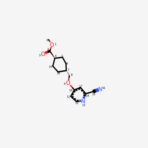 COC(=O)[C@H]1CC[C@H](COc2ccnc(C#N)c2)CC1